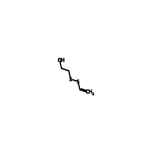 C=CSSCCO